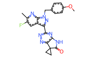 COc1ccc(Cn2nc(-c3nnc4c(n3)NC(=O)C43CC3)c3cc(F)c(C)nc32)cc1